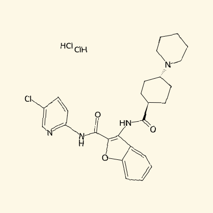 Cl.Cl.O=C(Nc1ccc(Cl)cn1)c1oc2ccccc2c1NC(=O)[C@H]1CC[C@H](N2CCCCC2)CC1